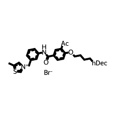 CCCCCCCCCCCCCCOc1ccc(C(=O)Nc2cccc(C[n+]3csc(C)c3)c2)cc1C(C)=O.[Br-]